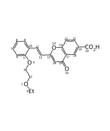 CCOCCOc1ccccc1C=Cc1cc(=O)c2cc(C(=O)O)ccc2o1